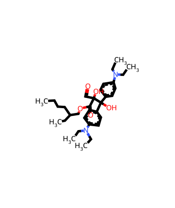 CCCCC(CC)COC(=O)C(O)(C=O)C(O)(c1ccc(N(CC)CC)cc1)c1ccc(N(CC)CC)cc1